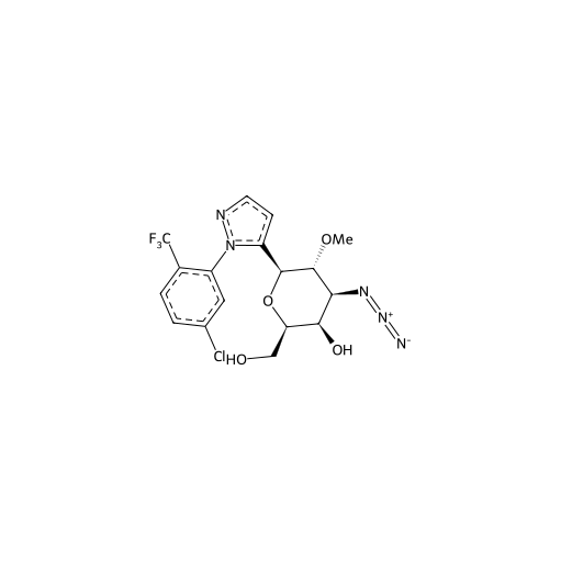 CO[C@@H]1[C@@H](N=[N+]=[N-])[C@@H](O)[C@@H](CO)O[C@H]1c1ccnn1-c1cc(Cl)ccc1C(F)(F)F